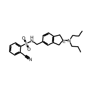 CCCN(CCC)[C@@H]1Cc2ccc(CNS(=O)(=O)c3ccccc3C#N)cc2C1